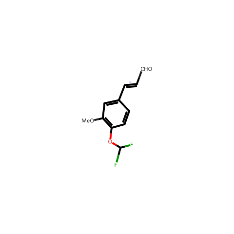 COc1cc(/C=[C]/C=O)ccc1OC(F)F